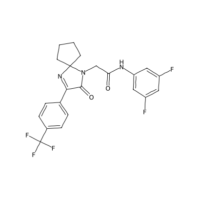 O=C(CN1C(=O)C(c2ccc(C(F)(F)F)cc2)=NC12CCCC2)Nc1cc(F)cc(F)c1